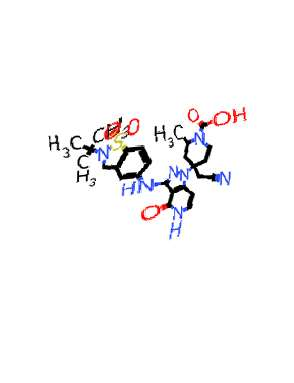 CC1CC(CC#N)(n2nc(Nc3ccc4c(c3)CN(C(C)(C)C)S4(=O)=O)c3c(=O)[nH]ccc32)CCN1C(=O)O